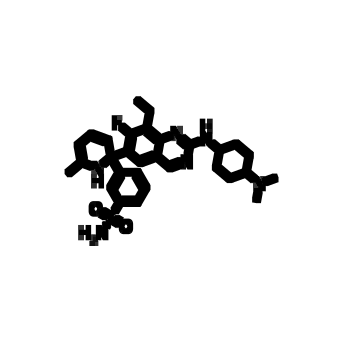 CCc1c(F)c(C2(c3cccc(S(N)(=O)=O)c3)C=CC=C(C)N2)cc2cnc(NC3CCC(N(C)C)CC3)nc12